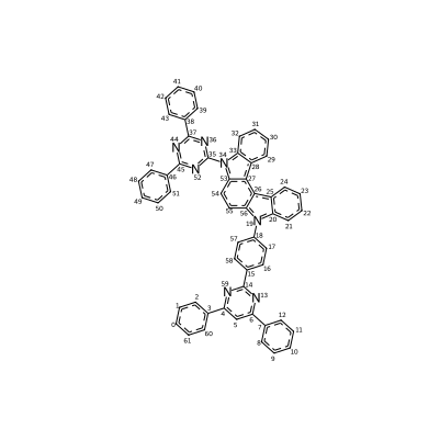 c1ccc(-c2cc(-c3ccccc3)nc(-c3ccc(-n4c5ccccc5c5c6c7ccccc7n(-c7nc(-c8ccccc8)nc(-c8ccccc8)n7)c6ccc54)cc3)n2)cc1